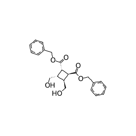 O=C(OCc1ccccc1)[C@H]1[C@@H](CO)[C@H](CO)[C@@H]1C(=O)OCc1ccccc1